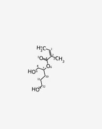 CC=C(C)C(=O)OC(CO)CCCO